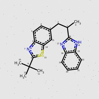 CC(Cc1ccc2nc(C(C)(C)C)sc2c1)c1nc2ccccc2[nH]1